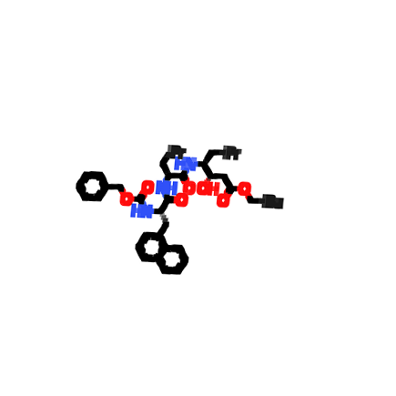 CCC(C)COC(=O)C[C@H](O)[C@H](CC(C)C)NC(=O)[C@H](CC(C)C)NC(=O)[C@H](Cc1cccc2ccccc12)NC(=O)OCc1ccccc1